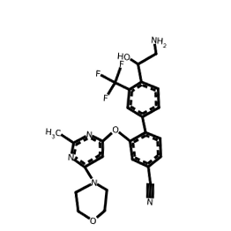 Cc1nc(Oc2cc(C#N)ccc2-c2ccc(C(O)CN)c(C(F)(F)F)c2)cc(N2CCOCC2)n1